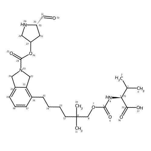 CC(C)[C@H](NC(=O)OCC(C)(C)CCCCc1cccc2c1CN(C(=O)OC1CN[C@H](C=O)C1)C2)C(=O)O